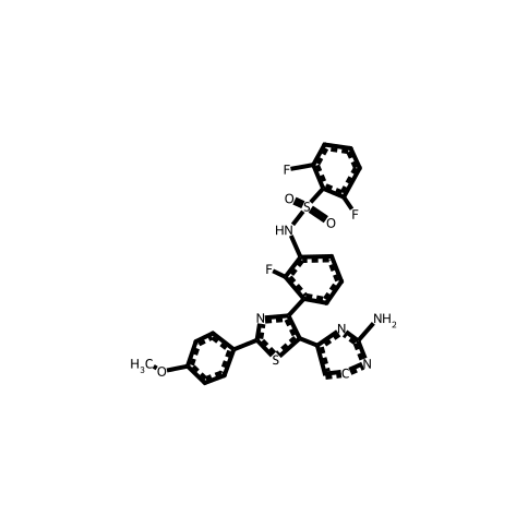 COc1ccc(-c2nc(-c3cccc(NS(=O)(=O)c4c(F)cccc4F)c3F)c(-c3ccnc(N)n3)s2)cc1